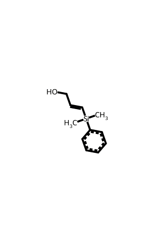 C[Si](C)(/C=C/CO)c1ccccc1